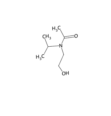 CC(=O)N(CCO)C(C)C